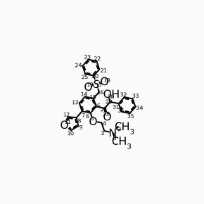 CN(C)CCOc1c(-c2ccoc2)ccc(CS(=O)(=O)c2ccccc2)c1C(=O)C(O)c1ccccc1